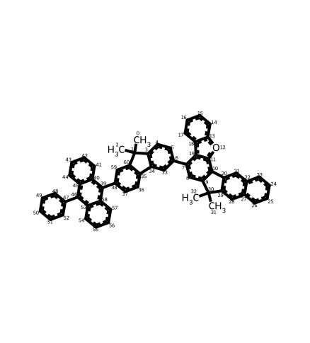 CC1(C)c2ccc(-c3cc4c(c5oc6ccccc6c35)-c3cc5ccccc5cc3C4(C)C)cc2-c2ccc(-c3c4ccccc4c(-c4ccccc4)c4ccccc34)cc21